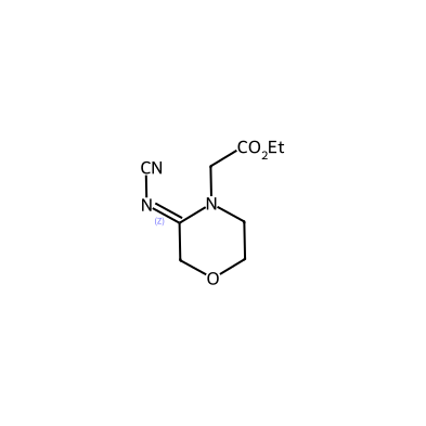 CCOC(=O)CN1CCOC/C1=N/C#N